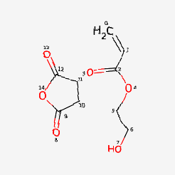 C=CC(=O)OCCO.O=C1CCC(=O)O1